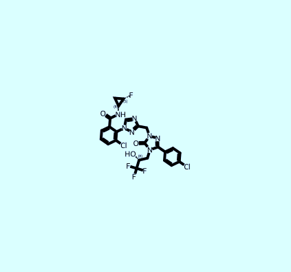 O=C(N[C@@H]1C[C@@H]1F)c1cccc(Cl)c1-n1cnc(Cn2nc(-c3ccc(Cl)cc3)n(C[C@@H](O)C(F)(F)F)c2=O)n1